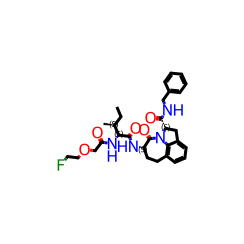 CC[C@H](C)[C@H](NC(=O)COCCF)C(=O)N[C@H]1CCc2cccc3c2N(C1=O)[C@H](C(=O)NCc1ccccc1)C3